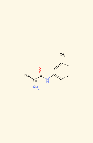 Cc1cccc(NC(=O)[C@@H](N)C(C)C)c1